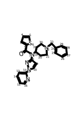 O=C(c1cccs1)N(c1ccn(-c2ccccn2)n1)C1CCN(Cc2ccccc2)CC1